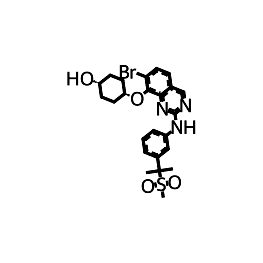 CC(C)(c1cccc(Nc2ncc3ccc(Br)c(O[C@H]4CC[C@@H](O)CC4)c3n2)c1)S(C)(=O)=O